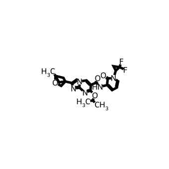 CC(C)Oc1nc2nc(C34COC(C)(C3)C4)cn2cc1C(=O)Nc1cccn(C2CC2(F)F)c1=O